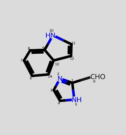 O=Cc1ncc[nH]1.c1ccc2[nH]ccc2c1